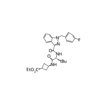 CCOC(=O)[C@H]1C[C@@H](NC(=O)[C@@H](NC(=O)c2nn(Cc3ccc(F)cc3)c3ccccc23)C(C)(C)C)C1